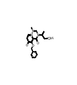 CC(CO)N1CN(C)n2ccc(=O)c(OCc3ccccc3)c2C1=O